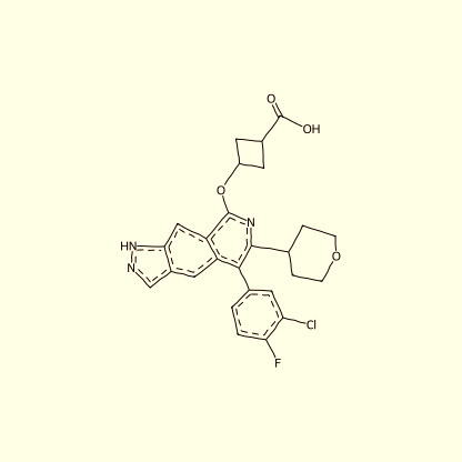 O=C(O)C1CC(Oc2nc(C3CCOCC3)c(-c3ccc(F)c(Cl)c3)c3cc4cn[nH]c4cc23)C1